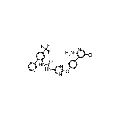 Nc1ncc(Cl)cc1-c1ccc(Oc2ncc(NC(=O)Nc3cc(C(F)(F)F)ccc3-c3cccnc3)cn2)cc1